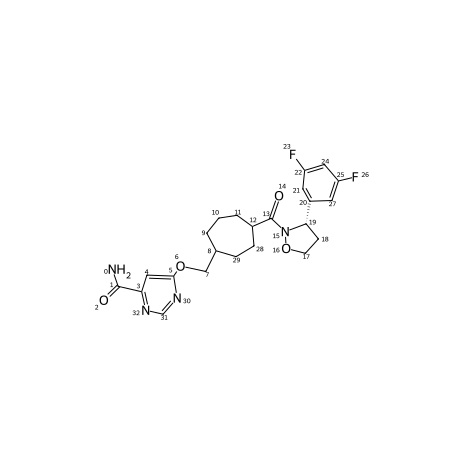 NC(=O)c1cc(OCC2CCCC(C(=O)N3OCC[C@H]3c3cc(F)cc(F)c3)CC2)ncn1